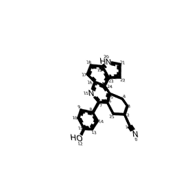 N#CC1CCc2c(c(-c3ccc(O)cc3)nc3ccc4[nH]ccc4c23)C1